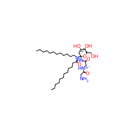 CCCCCCCCCCCCN(C(=O)CCCCCCCCCCC)[C@@]1(NC(=O)[C@H](C)NC(=O)CN)C[C@@H](O)[C@H](O)[C@@H](CO)O1